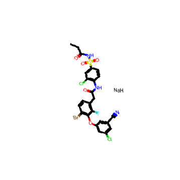 CCC(=O)NS(=O)(=O)c1ccc(NC(=O)Cc2ccc(Br)c(Oc3cc(Cl)cc(C#N)c3)c2F)c(Cl)c1.[NaH]